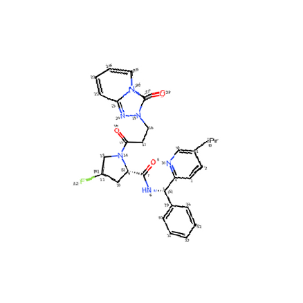 CC(C)c1ccc([C@@H](NC(=O)[C@@H]2C[C@@H](F)CN2C(=O)CCn2nc3ccccn3c2=O)c2ccccc2)nc1